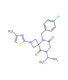 Cc1csc(N2CC3(C2)C(=O)N(C(C)C)CC(=O)N3Cc2ccc(Cl)cc2)n1